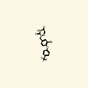 O=c1cnn(Cc2ccc(Oc3ccc(C(F)(F)F)cc3)c(Br)c2)c(=O)[nH]1